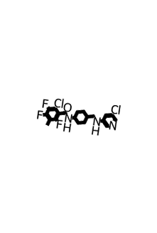 Cc1c(F)c(F)c(Cl)c(C(=O)NC2CCC(CNc3cncc(Cl)c3)CC2)c1F